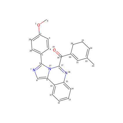 COc1ccc(-c2ncc3c4ccccc4nc(C(=O)C4=CC(C)=CCC4)n23)cc1